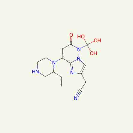 CCC1CNCCN1c1cc(=O)n(C(O)(O)O)n2cc(CC#N)nc12